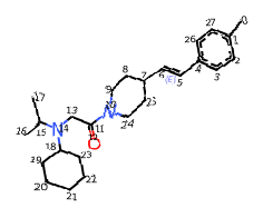 Cc1ccc(/C=C/C2CCN(C(=O)CN(C(C)C)C3CCCCC3)CC2)cc1